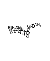 CNC(=O)[C@H]1O[C@@H](n2cnc3c(NCc4cc(Cl)ccc4OCC(=O)N4CCC(N)CC4)ncnc32)[C@H](O)[C@@H]1N